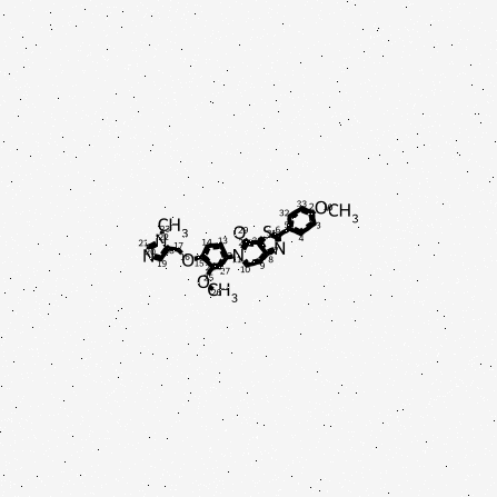 COc1ccc(-c2nc3ccn(-c4ccc(OCc5cncn5C)c(OC)c4)c(=O)c3s2)cc1